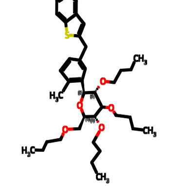 CCCCOC[C@H]1O[C@@H](c2cc(Cc3cc4ccccc4s3)ccc2C)[C@H](OCCCC)C(OCCCC)[C@@H]1OCCCC